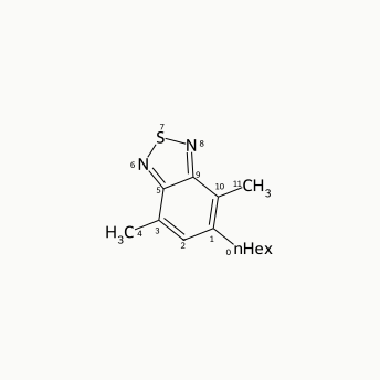 CCCCCCc1cc(C)c2nsnc2c1C